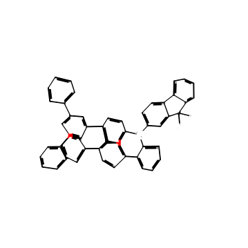 CC1(C)c2ccccc2-c2ccc(N(c3ccc(-c4cc(-c5ccccc5)cc(-c5ccccc5)c4)cc3)c3ccccc3-c3ccc(-c4ccccc4)cc3)cc21